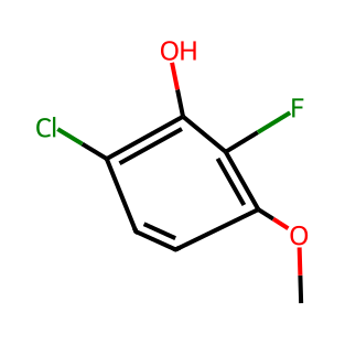 COc1ccc(Cl)c(O)c1F